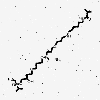 CC(C)C(=O)NCCCCCONCCCOCCCN(F)OCCCOCCC(O)COP(=O)(CO)C(C)C.N